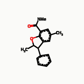 CNC(=O)c1cc(C)cc2c1OC(C)C2c1ccccc1